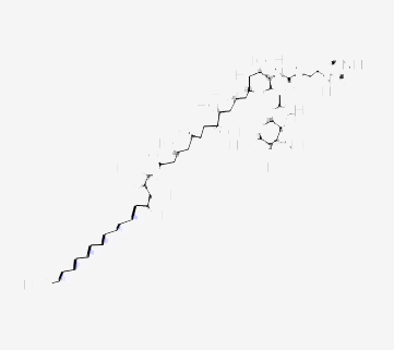 C/C=C/C=C/C=C/C=C/C=C/C=C/[C@H](C)[C@@H](O)[C@@H](C)[C@H](C)OC(=O)C[C@H](O)C[C@H](O)CC[C@@H](O)[C@H](O)C[C@H](O)C[C@]1(O)C[C@H](O)[C@@H](NC(=O)NCCNS(N)(=O)=O)[C@H](C[C@H](C)O[C@@H]2O[C@H](C)[C@@H](O)[C@H](N)[C@@H]2O)O1